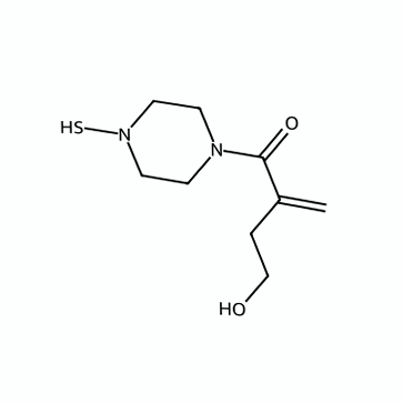 C=C(CCO)C(=O)N1CCN(S)CC1